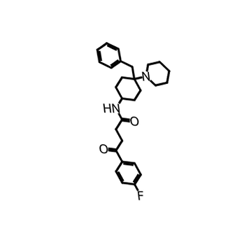 O=C(CCC(=O)c1ccc(F)cc1)NC1CCC(Cc2ccccc2)(N2CCCCC2)CC1